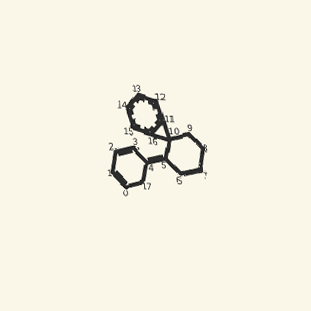 [C]1=CC=[C]C(=C2CCCCC23c2ccccc23)C1